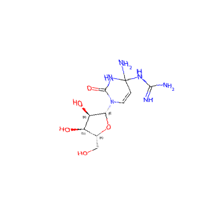 N=C(N)NC1(N)C=CN([C@@H]2O[C@H](CO)[C@@H](O)[C@H]2O)C(=O)N1